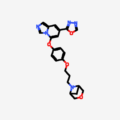 c1nnc(-c2cc(Oc3ccc(OCCCN4C5COCC4C5)cc3)n3cncc3c2)o1